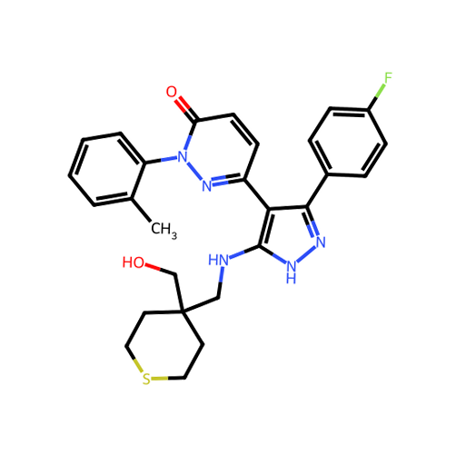 Cc1ccccc1-n1nc(-c2c(-c3ccc(F)cc3)n[nH]c2NCC2(CO)CCSCC2)ccc1=O